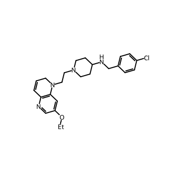 CCOc1cnc2c(c1)N(CCN1CCC(NCc3ccc(Cl)cc3)CC1)CC=C2